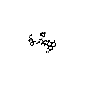 C#Cc1c(F)ccc2cc(O)cc(-c3ncc4c(N5CC6CCCC5CN6)nc(OC[C@@]56CCCN5C[C@@H](SC)C6)nc4c3F)c12